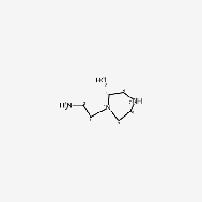 Cl.NCCN1CCNCC1